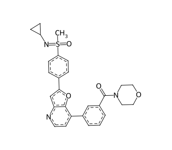 CS(=O)(=NC1CC1)c1ccc(-c2cc3nccc(-c4cccc(C(=O)N5CCOCC5)c4)c3o2)cc1